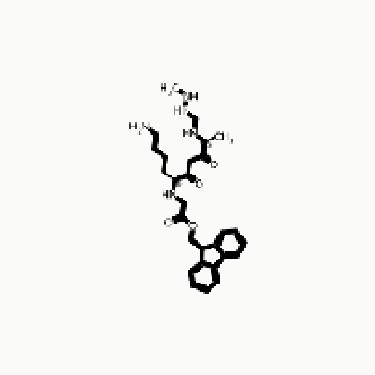 CNPCN[C@@H](C)C(=O)CC(=O)[C@H](CCCCN)NCC(=O)OCC1c2ccccc2-c2ccccc21